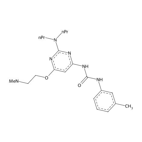 CCCN(CCC)c1nc(NC(=O)Nc2cccc(C)c2)cc(OCCNC)n1